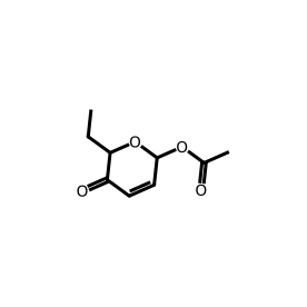 CCC1OC(OC(C)=O)C=CC1=O